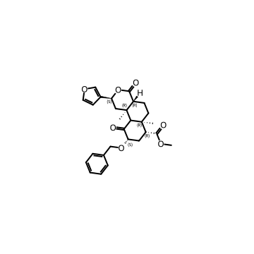 COC(=O)[C@@H]1C[C@H](OCc2ccccc2)C(=O)C2[C@@]1(C)CC[C@H]1C(=O)O[C@H](c3ccoc3)C[C@]21C